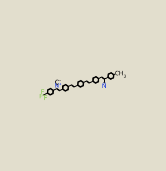 [C-]#[N+]/C(=C\c1ccc(/C=C/c2ccc(/C=C/c3ccc(/C=C(\C#N)c4ccc(C)cc4)cc3)cc2)cc1)c1ccc(C(F)(F)F)cc1